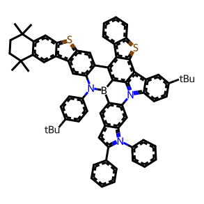 CC(C)(C)c1ccc(N2B3c4cc5cc(-c6ccccc6)n(-c6ccccc6)c5cc4-n4c5ccc(C(C)(C)C)cc5c5c6sc7ccccc7c6c(c3c54)-c3cc4sc5cc6c(cc5c4cc32)C(C)(C)CCC6(C)C)cc1